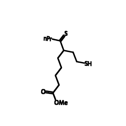 CCCC(=S)C(CCS)CCCCC(=O)OC